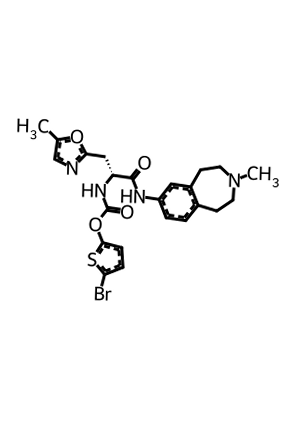 Cc1cnc(C[C@@H](NC(=O)Oc2ccc(Br)s2)C(=O)Nc2ccc3c(c2)CCN(C)CC3)o1